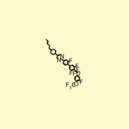 C/C=C/CCC1CCC(c2cnc(-c3ccc(-c4cc(F)c(C(F)(F)Oc5ccc(OC(F)(F)F)c(F)c5)c(F)c4)c(F)c3)nc2)CC1